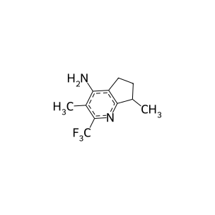 Cc1c(C(F)(F)F)nc2c(c1N)CCC2C